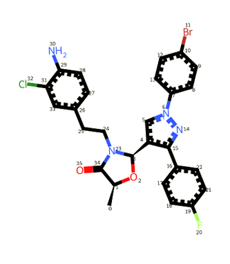 C[C@@H]1O[C@H](c2cn(-c3ccc(Br)cc3)nc2-c2ccc(F)cc2)N(CCc2ccc(N)c(Cl)c2)C1=O